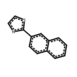 [c]1c(-c2nccs2)ccc2ccccc12